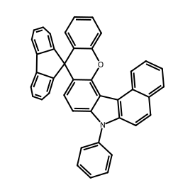 c1ccc(-n2c3ccc4c(c3c3c5ccccc5ccc32)Oc2ccccc2C42c3ccccc3-c3ccccc32)cc1